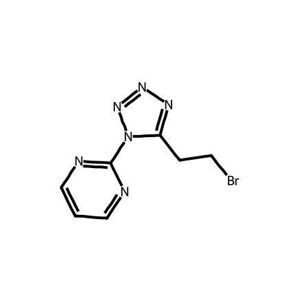 BrCCc1nnnn1-c1ncccn1